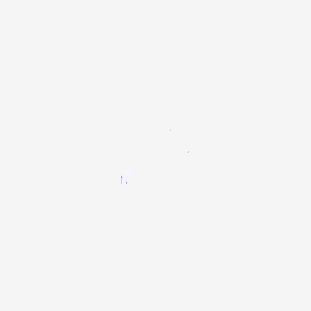 CCC(C#N)C1C2C=CC(C2)C1C